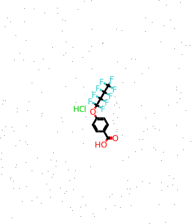 Cl.O=C(O)c1ccc(OC(F)(F)C(F)(F)C(F)(F)C(F)(F)F)cc1